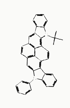 CC(C)(C)n1c2ccccc2c2cc3ccc4cc5c(c6ccc(c3c46)c21)c1ccccc1n5-c1ccccc1